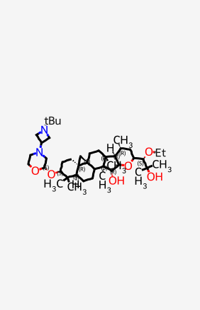 CCO[C@@H](C1C[C@@H](C)[C@H]2C(O1)[C@H](O)[C@@]1(C)C3CC[C@H]4C(C)(C)[C@@H](O[C@H]5CN(C6CN(C(C)(C)C)C6)CCO5)CC[C@@]45C[C@@]35CC[C@]21C)C(C)(C)O